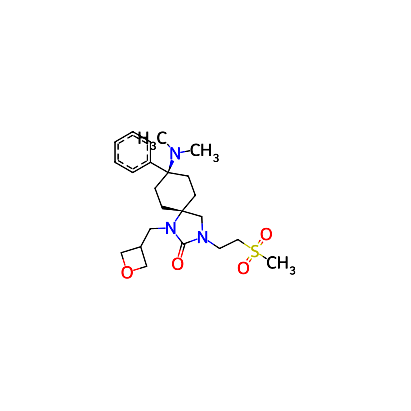 CN(C)[C@]1(c2ccccc2)CC[C@@]2(CC1)CN(CCS(C)(=O)=O)C(=O)N2CC1COC1